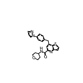 O=C(NC1CCOCC1)c1cc(Cc2ccc(-n3cccn3)cc2)c2sccc2n1